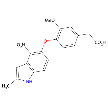 COc1cc(CC(=O)O)ccc1Oc1ccc2[nH]c(C)cc2c1[N+](=O)[O-]